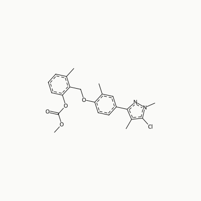 COC(=O)Oc1cccc(C)c1COc1ccc(-c2nn(C)c(Cl)c2C)cc1C